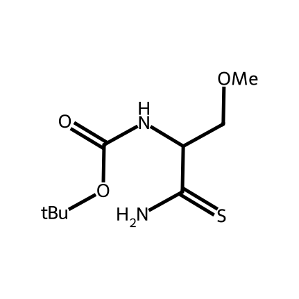 COCC(NC(=O)OC(C)(C)C)C(N)=S